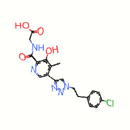 Cc1c(-c2cn(CCc3ccc(Cl)cc3)nn2)cnc(C(=O)NCC(=O)O)c1O